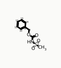 CS(=O)(=O)NC(=O)OCc1ccccc1